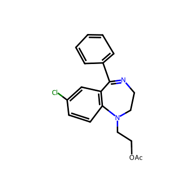 CC(=O)OCCN1CCN=C(c2ccccc2)c2cc(Cl)ccc21